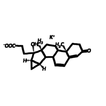 C[C@]12CCC(=O)C=C1C=CC1C2CC[C@@]2(C)C1[C@H]1C[C@H]1[C@@]2(O)CCC(=O)[O-].[K+]